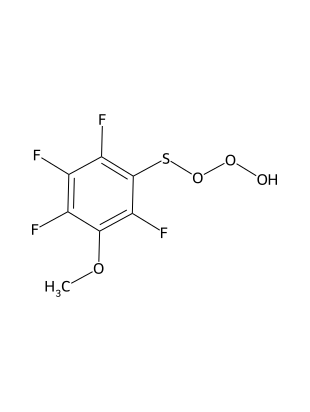 COc1c(F)c(F)c(F)c(SOOO)c1F